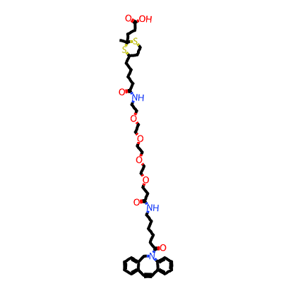 CC1(CCC(=O)O)SCCC(CCCCC(=O)NCCOCCOCCOCCOCCC(=O)NCCCCCC(=O)N2Cc3ccccc3C#Cc3ccccc32)S1